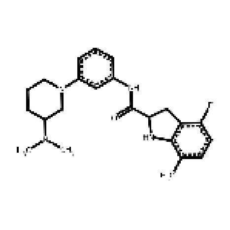 Cc1ccc(F)c2c1NC(C(=O)Nc1cccc(N3CCCC(N(C)C)C3)c1)C2